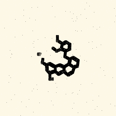 COc1cc(O)c2c[n+]3ccc4cccc(Cc5cccc(OC)c5OC)c4c3cc2c1.[Cl-]